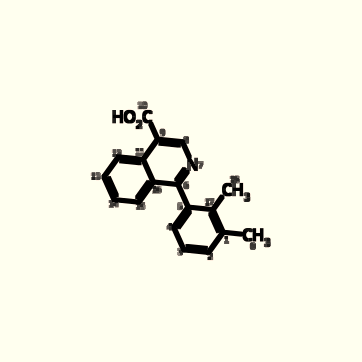 Cc1cccc(-c2ncc(C(=O)O)c3ccccc23)c1C